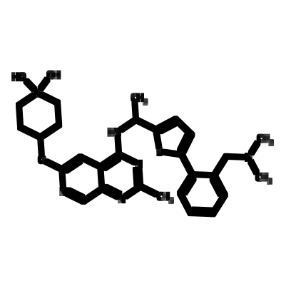 Cc1nc(NC(C)c2ccc(-c3ccccc3CN(C)C)s2)c2cc(OC3CCS(O)(O)CC3)ncc2n1